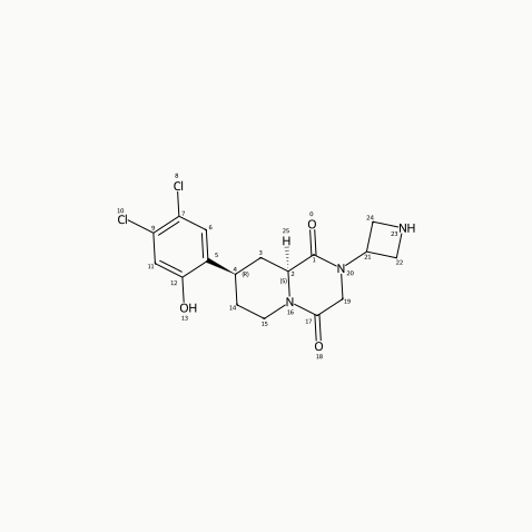 O=C1[C@@H]2C[C@H](c3cc(Cl)c(Cl)cc3O)CCN2C(=O)CN1C1CNC1